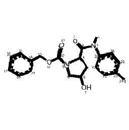 CN(C(=O)C1CC(O)CN1C(=O)OCc1ccccc1)c1ccc(I)cc1